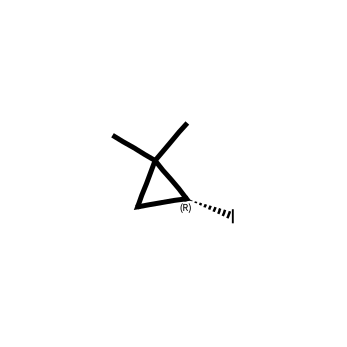 CC1(C)C[C@H]1I